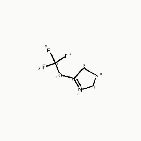 FC(F)(F)OC1=N[C]SC1